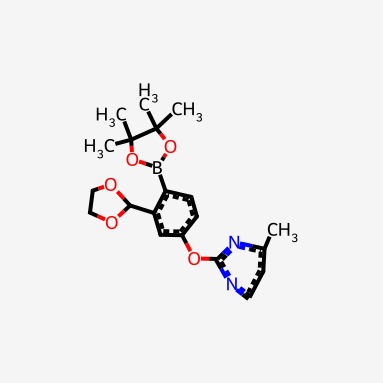 Cc1ccnc(Oc2ccc(B3OC(C)(C)C(C)(C)O3)c(C3OCCO3)c2)n1